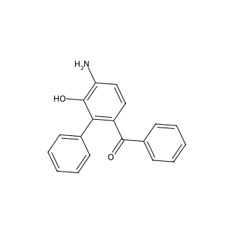 Nc1ccc(C(=O)c2ccccc2)c(-c2ccccc2)c1O